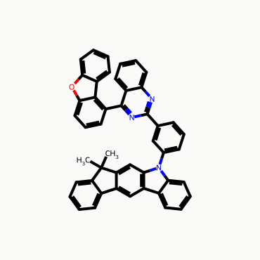 CC1(C)c2ccccc2-c2cc3c4ccccc4n(-c4cccc(-c5nc(-c6cccc7oc8ccccc8c67)c6ccccc6n5)c4)c3cc21